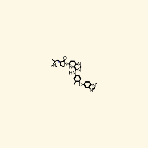 Cc1cc(Nc2ncnc3ccc(N4CC/C(=C\C(C)N(C)C)C4=O)nc23)ccc1Oc1ccc2c(c1)ncn2C